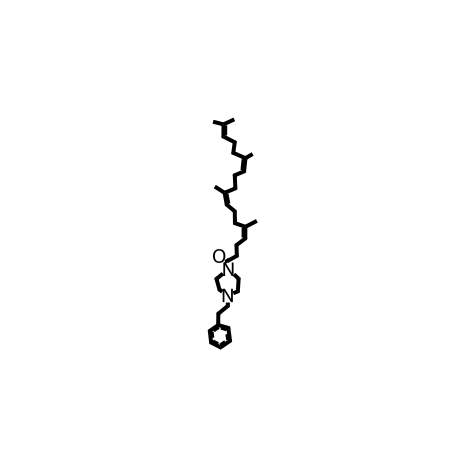 CC(C)=CCCC(C)=CCCC(C)=CCCC(C)=CCCC(=O)N1CCN(CCc2ccccc2)CC1